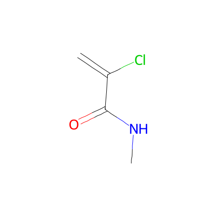 C=C(Cl)C(=O)NC